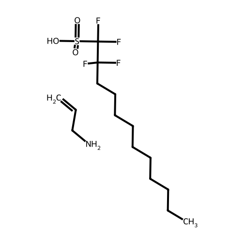 C=CCN.CCCCCCCCCCC(F)(F)C(F)(F)S(=O)(=O)O